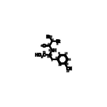 CCC(CC)C(=O)N[C@@H](Cc1cccc(C#N)c1)C(=O)O